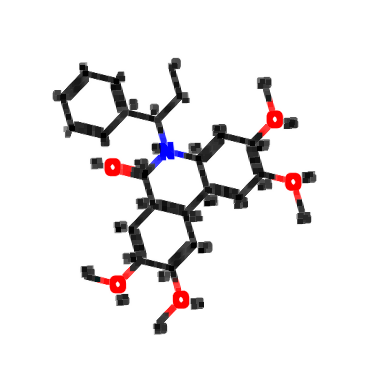 CCC(c1ccccc1)n1c(=O)c2cc(OC)c(OC)cc2c2cc(OC)c(OC)cc21